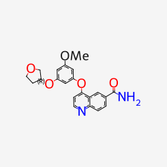 COc1cc(Oc2ccnc3ccc(C(N)=O)cc23)cc(O[C@@H]2CCOC2)c1